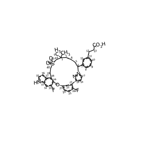 CC1(C)CCCC(c2cccc(CCC(=O)O)c2)n2ccc(n2)-c2cc(ccc2F)Oc2c(F)cc3[nH]ccc3c2CCS(=O)(=O)C1